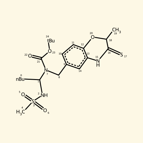 CCCCC(NS(C)(=O)=O)N(Cc1ccc2c(c1)NC(=S)C(C)O2)C(=O)OC(C)(C)C